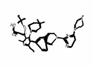 Cc1nc(C)c([C@H](OC(C)(C)C)C(=O)O)c(N2CCC(C)(C)CC2)c1-c1ccc2c(c1)CCN(c1nccc(N3CCN(C)CC3)n1)C2